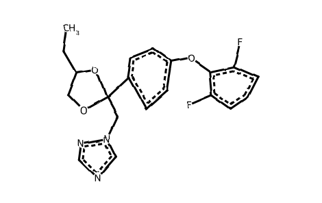 CCC1COC(Cn2cncn2)(c2ccc(Oc3c(F)cccc3F)cc2)O1